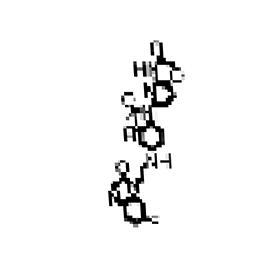 O=C1COc2ccc(N3C(=O)O[C@@H]4C[C@@H](NCCn5c(=O)cnc6ccc(F)cc65)CC[C@@H]43)nc2N1